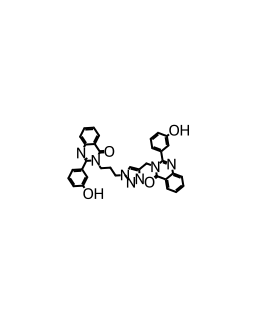 O=c1c2ccccc2nc(-c2cccc(O)c2)n1CCCn1cc(Cn2c(-c3cccc(O)c3)nc3ccccc3c2=O)nn1